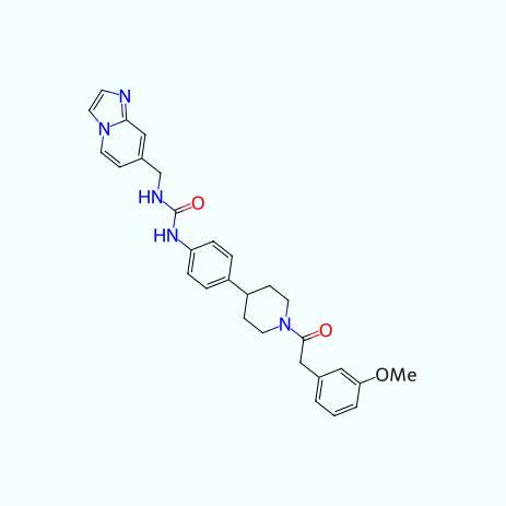 COc1cccc(CC(=O)N2CCC(c3ccc(NC(=O)NCc4ccn5ccnc5c4)cc3)CC2)c1